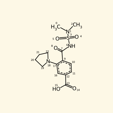 CN(C)S(=O)(=O)NC(=O)c1ccc(C(=O)O)cc1N1CCCC1